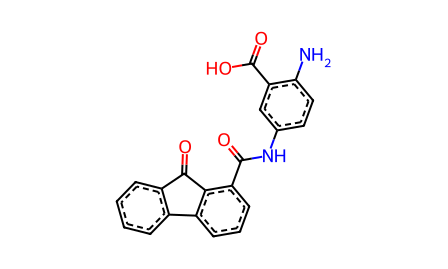 Nc1ccc(NC(=O)c2cccc3c2C(=O)c2ccccc2-3)cc1C(=O)O